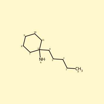 CCCCCC1([NH])CCCCC1